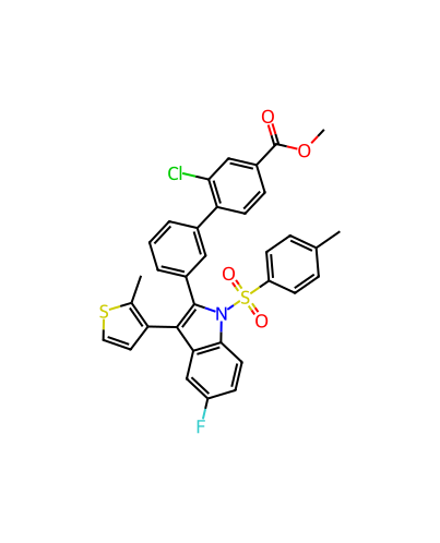 COC(=O)c1ccc(-c2cccc(-c3c(-c4ccsc4C)c4cc(F)ccc4n3S(=O)(=O)c3ccc(C)cc3)c2)c(Cl)c1